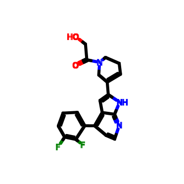 O=C(CO)N1CCC=C(c2cc3c(-c4cccc(F)c4F)ccnc3[nH]2)C1